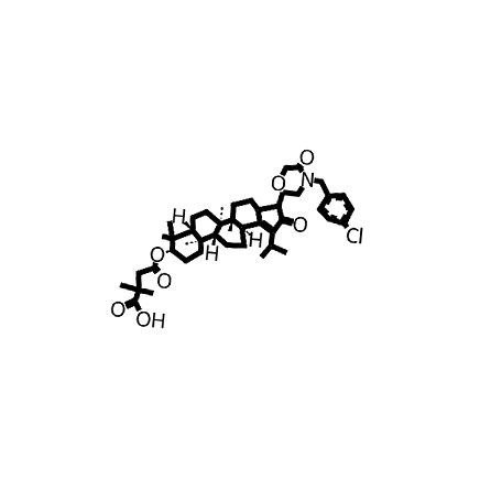 CC(C)C1=C2C(CC[C@]3(C)[C@@H]2CC[C@@H]2[C@@]4(C)CC[C@H](OC(=O)CC(C)(C)C(=O)O)C(C)(C)[C@@H]4CC[C@]23C)C(C2CN(Cc3ccc(Cl)cc3)C(=O)CO2)C1=O